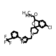 CNC(=O)C1OC2(CCN(Cc3cnn(-c4cccc(C(F)(F)F)c4)c3)CC2)c2cc(Cl)ccc21